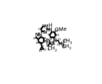 C=CC(=O)Nc1cc(Nc2nccc(-n3ncc4cc(C5CC5)ccc43)n2)c(OC)cc1N(C)CCN(C)C